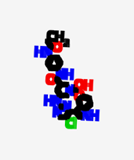 C=CC(=O)Nc1ccc(NC(=O)C2CC(Nc3ncc(Cl)c(-c4c[nH]c5ccccc45)n3)CN(C(=O)O)C2)cc1